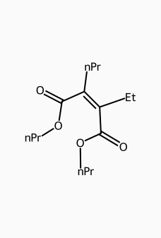 CCCOC(=O)C(CC)=C(CCC)C(=O)OCCC